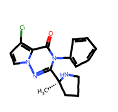 C[C@@]1(c2nn3ccc(Cl)c3c(=O)n2-c2ccccc2)CCCN1